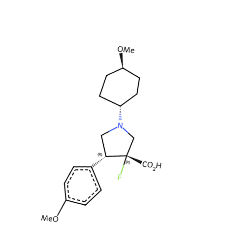 COc1ccc([C@@H]2CN([C@H]3CC[C@H](OC)CC3)C[C@@]2(F)C(=O)O)cc1